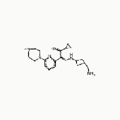 CN1CCN(c2cccc(/C(=C/NC3CC(CN)C3)C(=N)C3CC3)n2)CC1